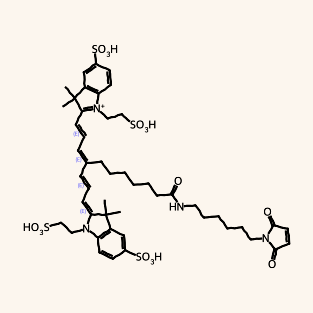 CC1(C)C(/C=C/C=C(/C=C/C=C2/N(CCS(=O)(=O)O)c3ccc(S(=O)(=O)O)cc3C2(C)C)CCCCCCC(=O)NCCCCCCN2C(=O)C=CC2=O)=[N+](CCS(=O)(=O)O)c2ccc(S(=O)(=O)O)cc21